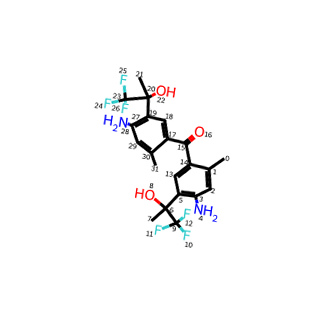 Cc1cc(N)c(C(C)(O)C(F)(F)F)cc1C(=O)c1cc(C(C)(O)C(F)(F)F)c(N)cc1C